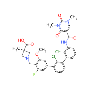 COc1cc(-c2cccc(-c3cccc(NC(=O)c4cn(C)c(=O)n(C)c4=O)c3Cl)c2Cl)cc(F)c1CN1CC(C)(C(=O)O)C1